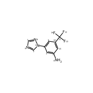 Nc1cc(-n2cncn2)cc(C(F)(F)F)c1